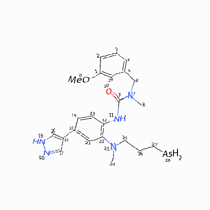 COc1cccc(CN(C)C(=O)Nc2ccc(-c3cn[nH]c3)cc2N(C)CCC[AsH2])c1